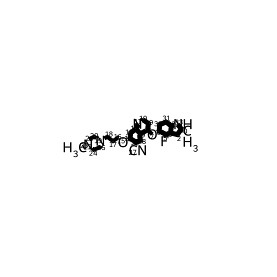 Cc1cc2c(F)c(Oc3ccnc4cc(OCCCN5CCN(C)CC5)c(C#N)cc34)ccc2[nH]1